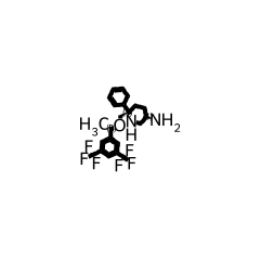 C[C@@H](OC[C@@]1(C2C=CC=CC2)CC[C@H](N)CN1)c1cc(C(F)(F)F)cc(C(F)(F)F)c1